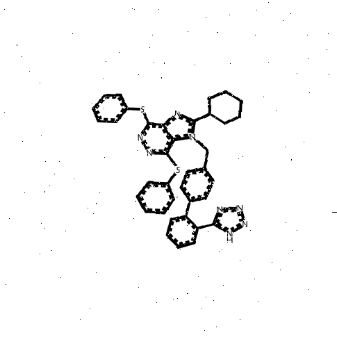 c1ccc(Sc2nnc(Sc3ccccc3)c3c2nc(C2CCCCC2)n3Cc2ccc(-c3ccccc3-c3nnn[nH]3)cc2)cc1